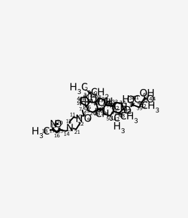 C=C(C)[C@@H]1CC[C@]2(CC(=O)N3CCN(Cc4cc(C)no4)CC3)CC[C@]3(C)[C@H](CC[C@@H]4[C@@]5(C)CC[C@H](OC(=O)CC(C)(C)C(=O)O)C(C)(C)C5CC[C@]43C)[C@@H]12